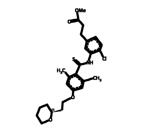 COC(=O)CCc1ccc(Cl)c(NC(=S)c2c(C)cc(OCC[C@H]3CCCCO3)cc2C)c1